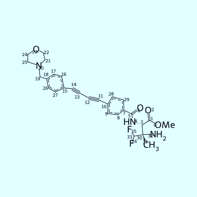 COC(=O)[C@@H](NC(=O)c1ccc(C#CC#Cc2ccc(CN3CCOCC3)cc2)cc1)[C@](C)(N)C(F)F